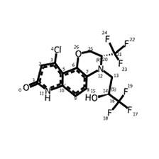 O=c1cc(Cl)c2c3c(ccc2[nH]1)N(C[C@H](O)C(F)(F)F)[C@@H](C(F)(F)F)CO3